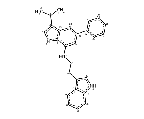 CC(C)c1cnn2c(NCCc3c[nH]c4ccccc34)cc(-c3cccnc3)nc12